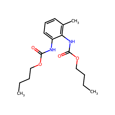 CCCCOC(=O)Nc1cccc(C)c1NC(=O)OCCCC